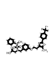 Cc1oc(-c2ccc(C(F)(F)F)cc2)nc1CCOc1cccc(CN(CC(=O)O)S(=O)(=O)N(C)c2ccccc2)c1